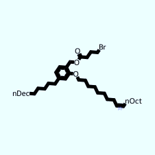 CCCCCCCC/C=C\CCCCCCCCOc1cc(CCCCCCCCCCCCCCC)ccc1COC(=O)CCCBr